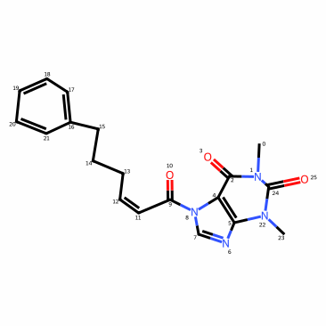 Cn1c(=O)c2c(ncn2C(=O)/C=C\CCCc2ccccc2)n(C)c1=O